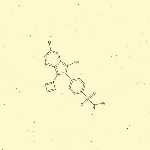 CC(C)NS(=O)(=O)c1ccc(-c2c(C#N)c3cc(Cl)cnc3n2C2=CC=C2)cc1